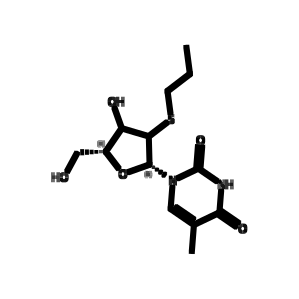 CCCSC1C(O)[C@@H](CO)O[C@H]1n1cc(C)c(=O)[nH]c1=O